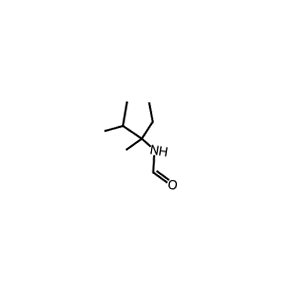 CCC(C)(NC=O)C(C)C